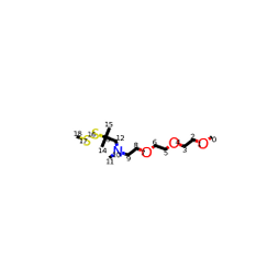 COCCOCCOCCN(C)CC(C)(C)SSC